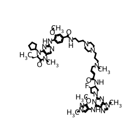 CC[C@@H]1C(=O)N(C)c2cnc(Nc3ccc(C(=O)NCCCN4CCN(CCCN(C)C/C=C/C(=O)N[C@@H]5CN(c6nc(Nc7cn(C)nc7OC)c7ncn(C)c7n6)C[C@H]5F)CC4)cc3OC)nc2N1C1CCCC1